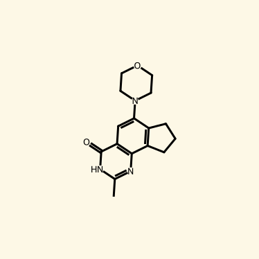 Cc1nc2c3c(c(N4CCOCC4)cc2c(=O)[nH]1)CCC3